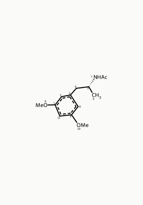 COc1cc(C[C@@H](C)NC(C)=O)cc(OC)c1